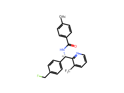 CC(=O)Oc1ccc(C(=O)N[C@@H](c2ccc(CF)cc2)c2ncccc2C(F)(F)F)cc1